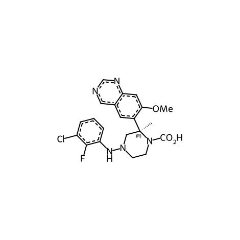 COc1cc2ncncc2cc1[C@]1(C)CN(Nc2cccc(Cl)c2F)CCN1C(=O)O